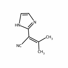 CC(C)=C(C#N)c1ncc[nH]1